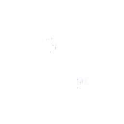 CNCCCC[C@@H]1CN(C(=O)O)C(C)(C)C1